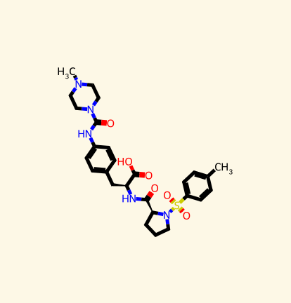 Cc1ccc(S(=O)(=O)N2CCC[C@H]2C(=O)N[C@@H](Cc2ccc(NC(=O)N3CCN(C)CC3)cc2)C(=O)O)cc1